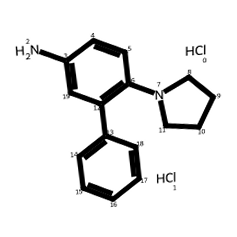 Cl.Cl.Nc1ccc(N2CCCC2)c(-c2ccccc2)c1